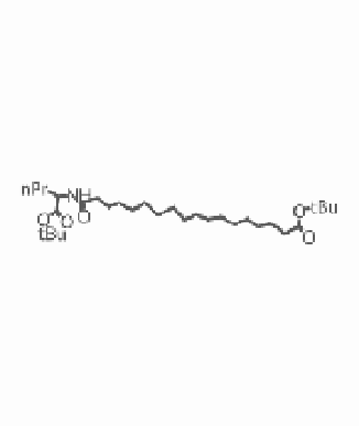 CCCC(NC(=O)CCCCCCCCCCCCCCCCC(=O)OC(C)(C)C)C(=O)OC(C)(C)C